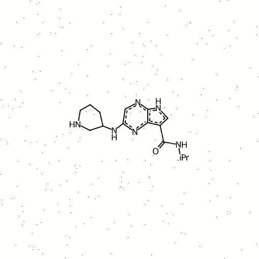 CC(C)NC(=O)c1c[nH]c2ncc(NC3CCCNC3)nc12